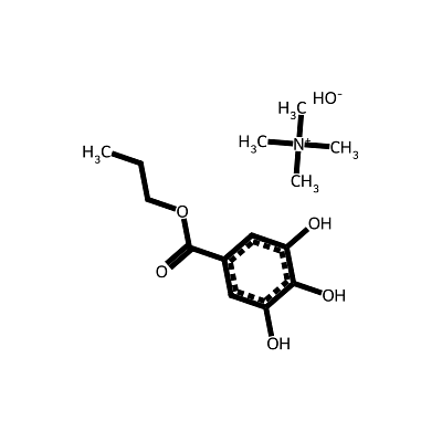 CCCOC(=O)c1cc(O)c(O)c(O)c1.C[N+](C)(C)C.[OH-]